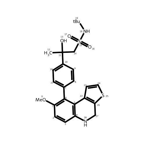 COc1ccc2c(c1-c1ccc(C(C)(O)CS(=O)(=O)NC(C)(C)C)cc1)-c1ccsc1CN2